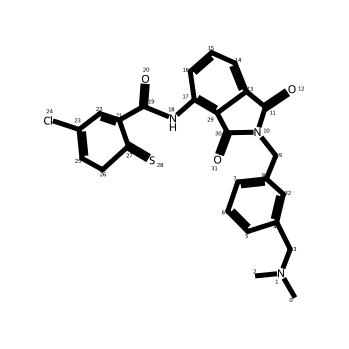 CN(C)Cc1cccc(CN2C(=O)c3cccc(NC(=O)C4=CC(Cl)=CCC4=S)c3C2=O)c1